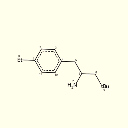 CCc1ccc(CC(N)CC(C)(C)C)cc1